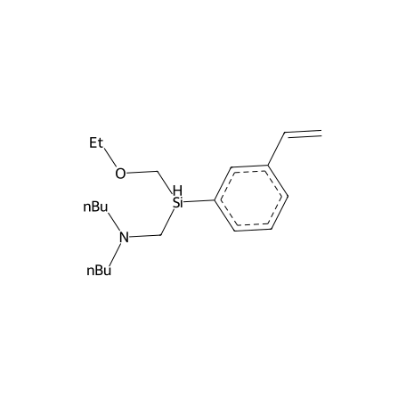 C=Cc1cccc([SiH](COCC)CN(CCCC)CCCC)c1